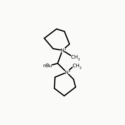 CCCCC([N+]1(C)CCCCC1)[N+]1(C)CCCCC1